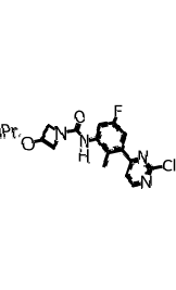 Cc1c(NC(=O)N2CC(OC(C)C)C2)cc(F)cc1-c1ccnc(Cl)n1